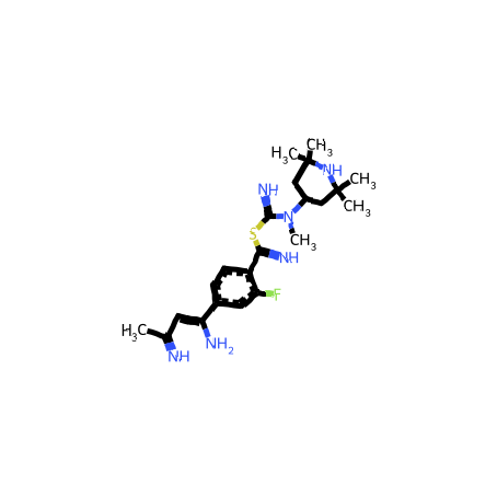 CC(=N)/C=C(\N)c1ccc(C(=N)SC(=N)N(C)C2CC(C)(C)NC(C)(C)C2)c(F)c1